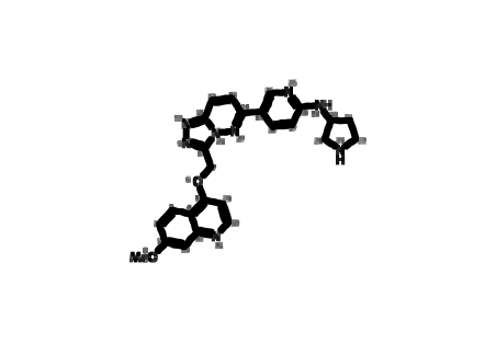 COc1ccc2c(OCc3nnc4ccc(-c5ccc(NC6CCNC6)nc5)nn34)ccnc2c1